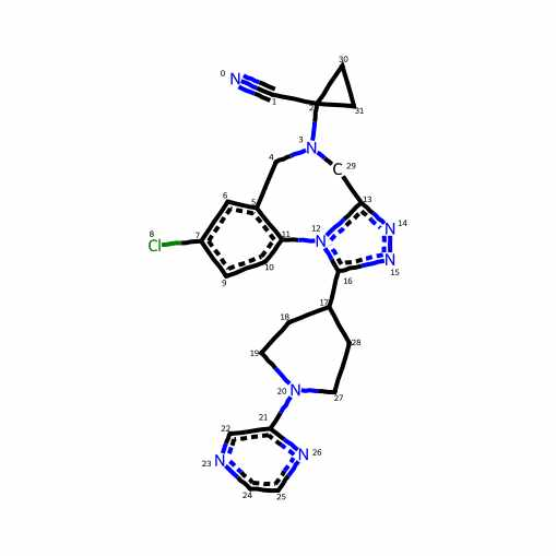 N#CC1(N2Cc3cc(Cl)ccc3-n3c(nnc3C3CCN(c4cnccn4)CC3)C2)CC1